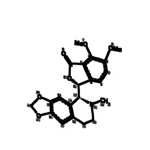 COc1ccc2c(c1OC)C(=O)O[C@@H]2[C@H]1c2cc3c(cc2CCN1C)OCO3